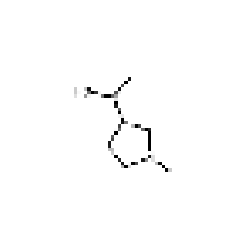 [CH2]C(O)C1CCN(C)C1